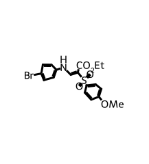 CCOC(=O)/C(=C\Nc1ccc(Br)cc1)S(=O)(=O)c1ccc(OC)cc1